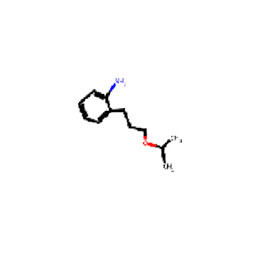 CC(C)OCCCc1ccccc1N